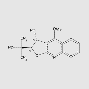 COc1c2c(nc3ccccc13)O[C@@H](C(C)(C)O)[C@@H]2O